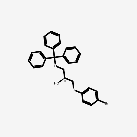 O[C@H](COc1ccc(Br)cc1)COC(c1ccccc1)(c1ccccc1)c1ccccc1